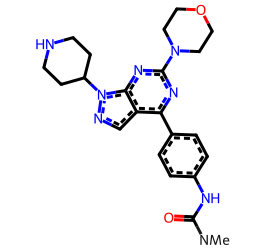 CNC(=O)Nc1ccc(-c2nc(N3CCOCC3)nc3c2cnn3C2CCNCC2)cc1